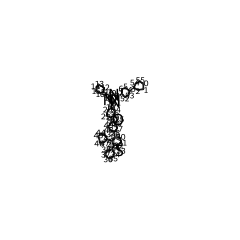 c1ccc(-c2ccc(-c3nc(-c4ccccc4)nc(-c4ccc5c(c4)oc4cc(-c6ccc7sc8ccccc8c7c6-c6ccccc6)ccc45)n3)cc2)cc1